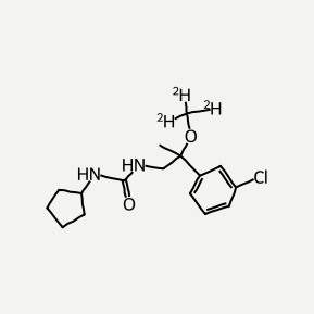 [2H]C([2H])([2H])OC(C)(CNC(=O)NC1CCCC1)c1cccc(Cl)c1